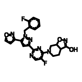 OC1=NOC2CN(c3nc(-c4cc(-c5ccon5)n(Cc5ccccc5F)n4)ncc3F)CCC12